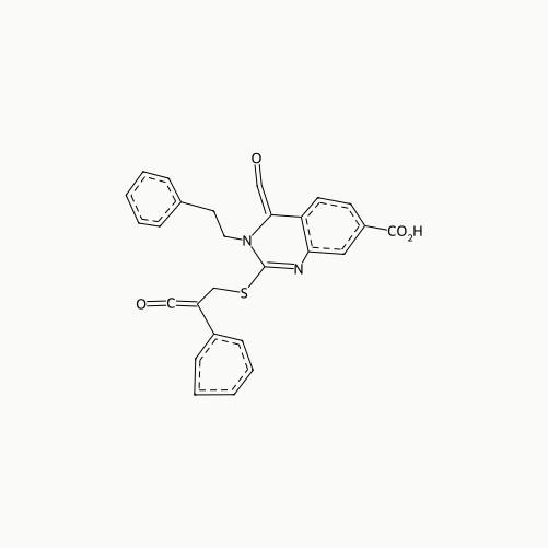 O=C=C(CSC1=Nc2cc(C(=O)O)ccc2C(=C=O)N1CCc1ccccc1)c1ccccc1